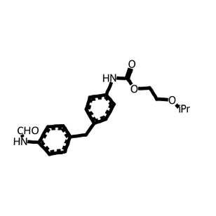 CC(C)OCCOC(=O)Nc1ccc(Cc2ccc(NC=O)cc2)cc1